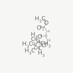 COC(=O)CC(CCl)O[Si](C)(C)C(C)(C)C